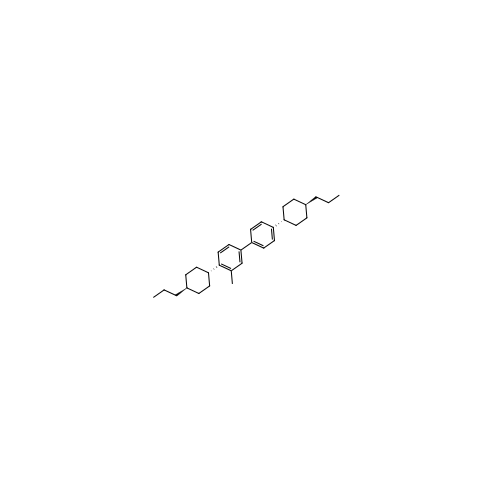 CCC[C@H]1CC[C@H](c2ccc(-c3ccc([C@H]4CC[C@H](CCC)CC4)c(C)c3)cc2)CC1